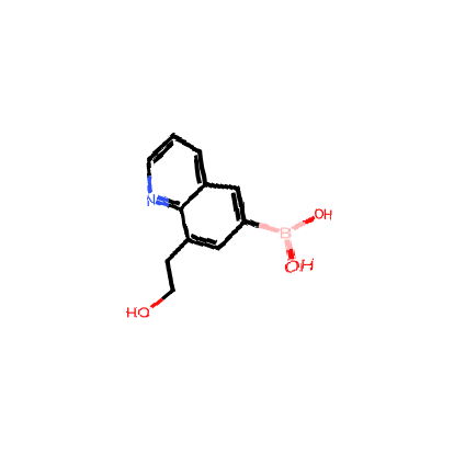 OCCc1cc(B(O)O)cc2cccnc12